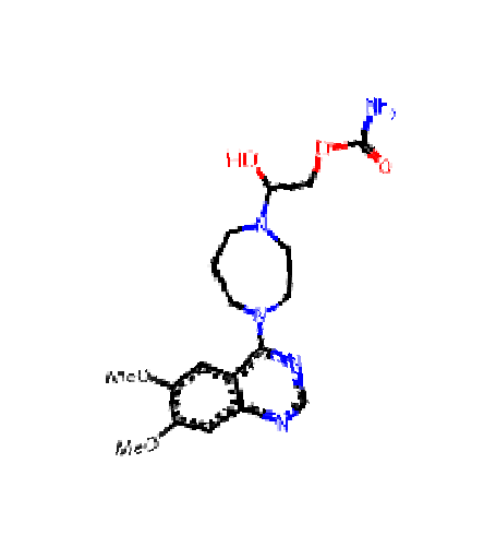 COc1cc2ncnc(N3CCCN(C(O)COC(N)=O)CC3)c2cc1OC